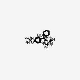 [2H]C([2H])([2H])Oc1ccc(C(C2(O)CCCCC2)C([2H])([2H])N(C([2H])([2H])[2H])C([2H])([2H])[2H])cc1